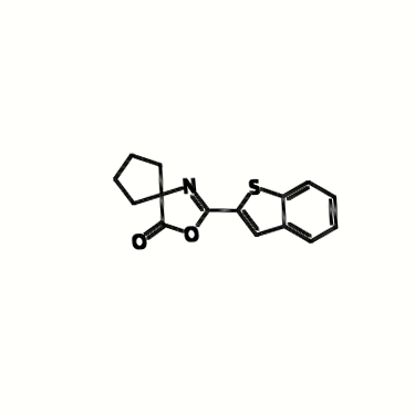 O=C1OC(c2cc3ccccc3s2)=NC12CCCC2